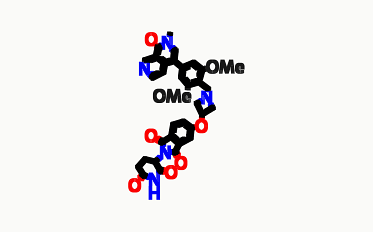 COc1cc(-c2cn(C)c(=O)c3cnccc23)cc(OC)c1CN1CC(Oc2ccc3c(c2)C(=O)N(C2CCC(=O)NC2=O)C3=O)C1